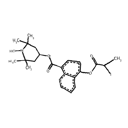 CC(I)C(=O)Oc1ccc(C(=O)OC2CC(C)(C)N(O)C(C)(C)C2)c2ccccc12